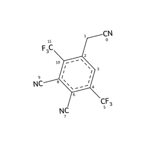 N#CCc1cc(C(F)(F)F)c(C#N)c(C#N)c1C(F)(F)F